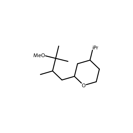 COC(C)(C)C(C)CC1CC(C(C)C)CCO1